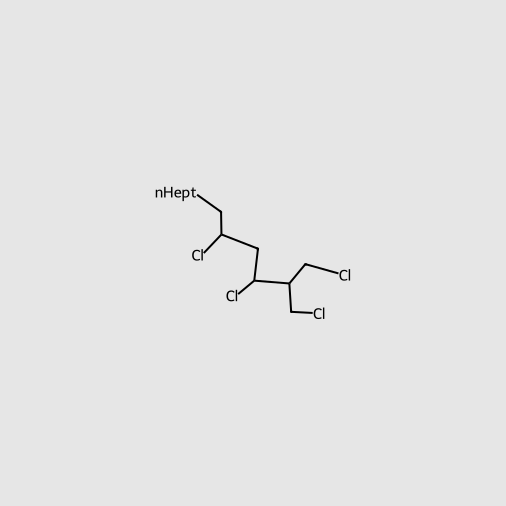 CCCCCCCCC(Cl)CC(Cl)C(CCl)CCl